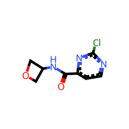 O=C(NC1COC1)c1ccnc(Cl)n1